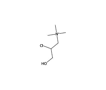 C[N+](C)(C)CC(Cl)CO